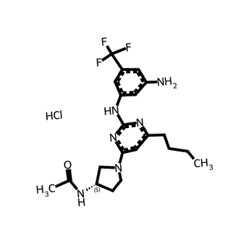 CCCCc1cc(N2CC[C@H](NC(C)=O)C2)nc(Nc2cc(N)cc(C(F)(F)F)c2)n1.Cl